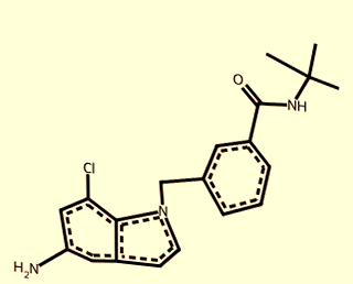 CC(C)(C)NC(=O)c1cccc(Cn2ccc3cc(N)cc(Cl)c32)c1